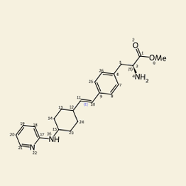 COC(=O)[C@@H](N)Cc1ccc(/C=C/C2CCC(Nc3ccccn3)CC2)cc1